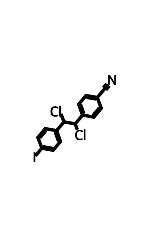 N#Cc1ccc(C(Cl)C(Cl)c2ccc(I)cc2)cc1